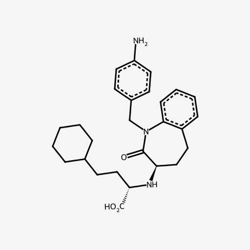 Nc1ccc(CN2C(=O)[C@H](N[C@@H](CCC3CCCCC3)C(=O)O)CCc3ccccc32)cc1